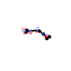 O=C(CCCCCNC[C@@H](O)c1ccc(O)c2[nH]c(=O)ccc12)NC1CCC(CCN2CCC(NC(=O)Oc3ccccc3-c3ccccc3)CC2)CC1